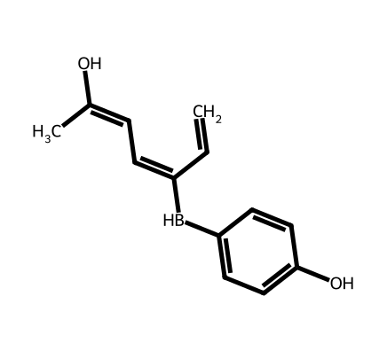 C=C/C(Bc1ccc(O)cc1)=C\C=C(/C)O